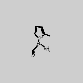 CC1=CC=C[SH]1N(N)C=O